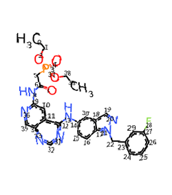 CCOP(=O)(CC(=O)Nc1cc2c(Nc3ccc4c(cnn4Cc4cccc(F)c4)c3)ncnc2cn1)OCC